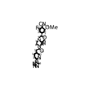 COc1cc([C@@H]2CN3CCN(C(=O)Cc4ccc(-n5cnnn5)nc4)C[C@@H]3CO2)cc(F)c1C#N